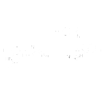 CC(C)(C)OC(=O)N(CCCCCCOc1ccc(C(=O)N2CCC(C(=O)O[C@H]3CN4CCC3CC4)(c3ccc(F)cc3)CC2)cc1)C[C@H](O)c1ccc(O)c2[nH]c(=O)ccc12